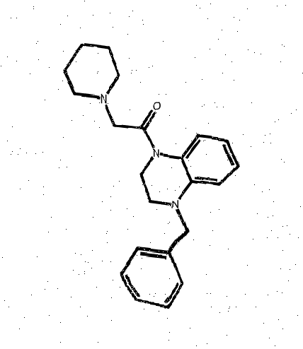 O=C(CN1CCCCC1)N1CCN(Cc2ccccc2)c2ccccc21